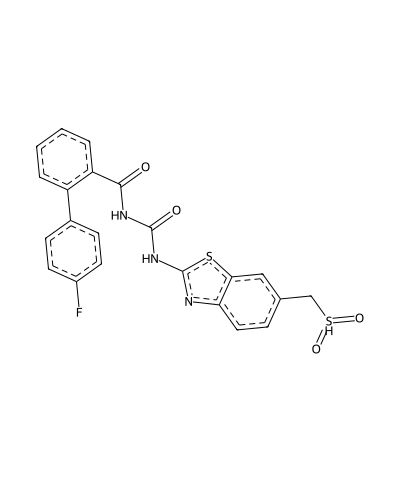 O=C(NC(=O)c1ccccc1-c1ccc(F)cc1)Nc1nc2ccc(C[SH](=O)=O)cc2s1